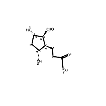 CC(C)(C)C(=O)CC[C@@H]1[C@H](C=O)[C@@H](O)C[C@H]1O